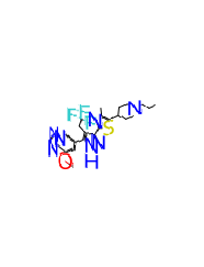 CCCN1CCC(c2sc(-c3n[nH]c(-c4cc(OC)c5ncnn5c4)c3CC(F)(F)F)nc2C)CC1